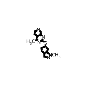 Cc1nc(Sc2ccc3cnn(C)c3c2)nc2cnccc12